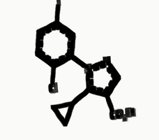 CCOC(=O)c1cnn(-c2cc(I)ccc2Cl)c1C1CC1